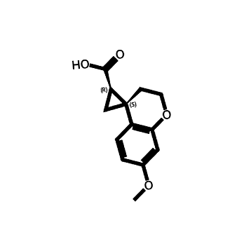 COc1ccc2c(c1)OCC[C@]21C[C@H]1C(=O)O